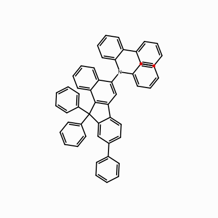 c1ccc(-c2ccc3c(c2)C(c2ccccc2)(c2ccccc2)c2c-3cc(N(c3ccccc3)c3ccccc3-c3ccccc3)c3ccccc23)cc1